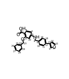 O=C(O)c1ccc(NCc2ccc(-c3ccoc3)cc2)cc1OCc1ccccc1